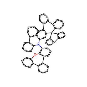 c1ccc(-c2ccccc2N(c2ccc3c(c2)C2(c4ccccc4-c4ccccc4-3)c3ccccc3-c3ccccc32)c2cccc3c2Oc2ccccc2-c2ccccc2-3)cc1